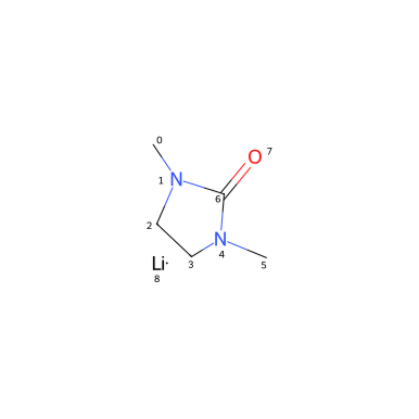 CN1CCN(C)C1=O.[Li]